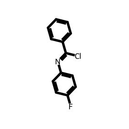 Fc1ccc(N=C(Cl)c2ccccc2)cc1